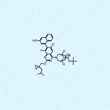 CN(C)CC1(COc2nc(N3C[C@H]4C[C@@H](O)[C@@H](C3)N4C(=O)OC(C)(C)C)c3cc(Cl)c(-c4cc(O)cc5ccccc45)c(F)c3n2)CC1